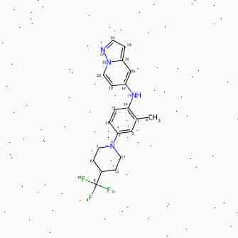 Cc1cc(N2CCC(C(F)(F)F)CC2)ccc1Nc1ccn2nccc2c1